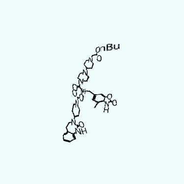 CCCCOC(=O)CN1CCC(N2CCN(C(=O)[C@@H](Cc3cc(C)c4[nH]c(=O)oc4c3)OC(=O)N3CCC(N4CCc5ccccc5NC4=O)CC3)CC2)CC1